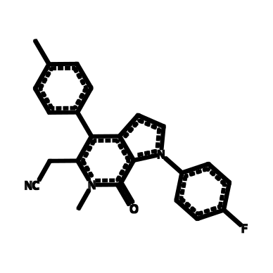 Cc1ccc(-c2c(CC#N)n(C)c(=O)c3c2ccn3-c2ccc(F)cc2)cc1